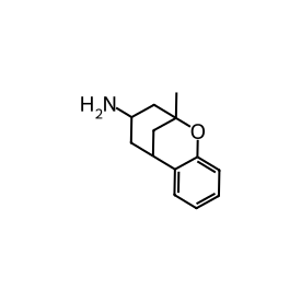 CC12CC(N)CC(C1)c1ccccc1O2